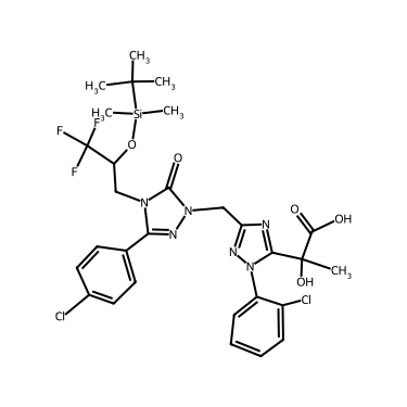 CC(O)(C(=O)O)c1nc(Cn2nc(-c3ccc(Cl)cc3)n(CC(O[Si](C)(C)C(C)(C)C)C(F)(F)F)c2=O)nn1-c1ccccc1Cl